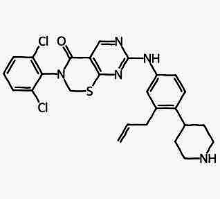 C=CCc1cc(Nc2ncc3c(n2)SCN(c2c(Cl)cccc2Cl)C3=O)ccc1C1CCNCC1